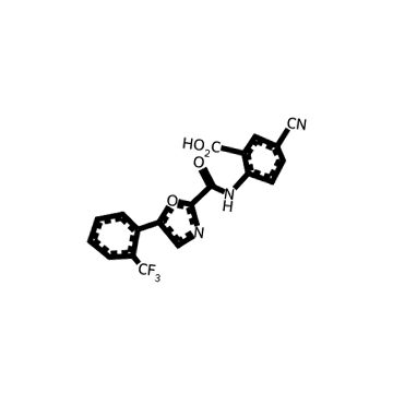 N#Cc1ccc(NC(=O)c2ncc(-c3ccccc3C(F)(F)F)o2)c(C(=O)O)c1